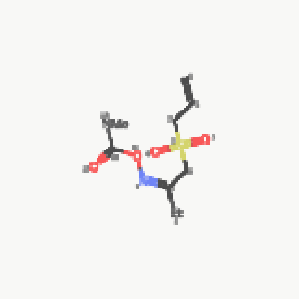 C=CCS(=O)(=O)CC(CC)=NOC(=O)NC